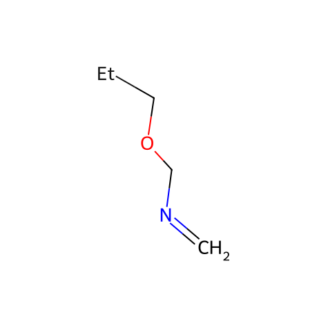 C=NCOCCC